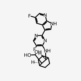 OC(O)[C@@H]1C2CCC(CC2)[C@H]1Nc1nc(-c2c[nH]c3ncc(F)cc23)ncc1F